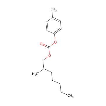 CCCCCC(C)COC(=O)Oc1ccc(C)cc1